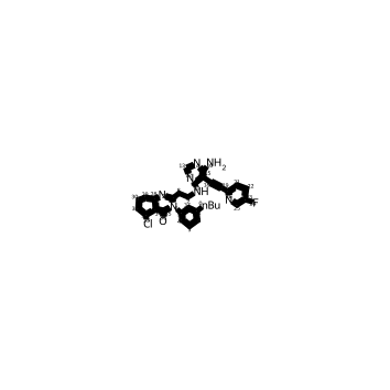 CCCCc1cccc(-n2c(CCNc3ncnc(N)c3C#Cc3ccc(F)cn3)nc3cccc(Cl)c3c2=O)c1